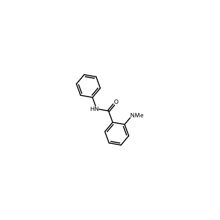 CNc1ccccc1C(=O)Nc1ccccc1